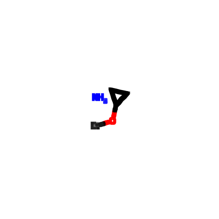 CCOC1CC1.N